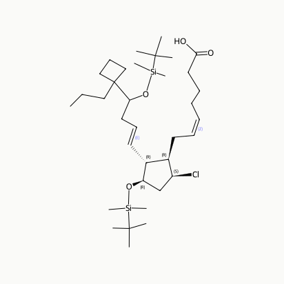 CCCC1(C(C/C=C/[C@@H]2[C@@H](C/C=C\CCCC(=O)O)[C@@H](Cl)C[C@H]2O[Si](C)(C)C(C)(C)C)O[Si](C)(C)C(C)(C)C)CCC1